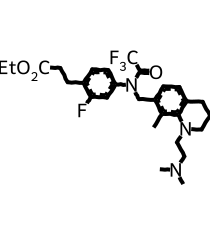 CCOC(=O)CCc1ccc(N(Cc2ccc3c(c2C)N(CCN(C)C)CCC3)C(=O)C(F)(F)F)cc1F